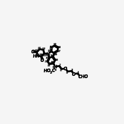 O=CCOCCOCCN(C(=O)O)c1ccc2c(c1)c1cccnc1n2C1CCC(=O)NC1=O